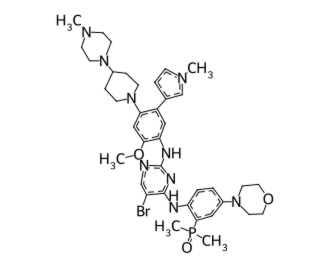 COc1cc(N2CCC(N3CCN(C)CC3)CC2)c(-c2ccn(C)c2)cc1Nc1ncc(Br)c(Nc2ccc(N3CCOCC3)cc2P(C)(C)=O)n1